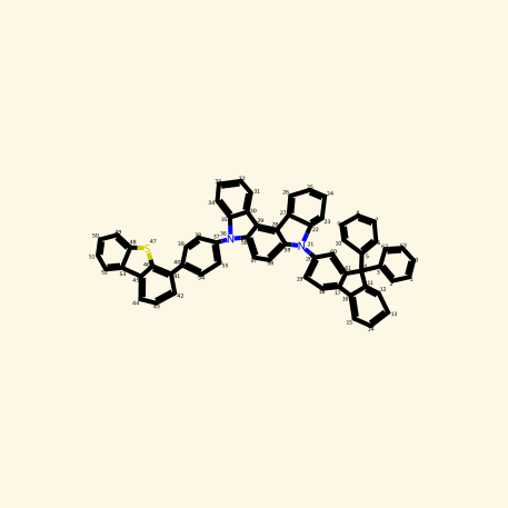 c1ccc(C2(c3ccccc3)c3ccccc3-c3ccc(-n4c5ccccc5c5c6c7ccccc7n(-c7ccc(-c8cccc9c8sc8ccccc89)cc7)c6ccc54)cc32)cc1